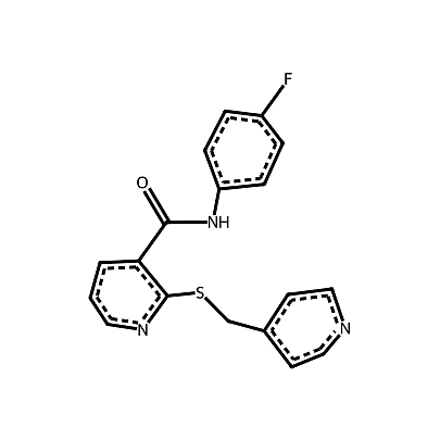 O=C(Nc1ccc(F)cc1)c1cccnc1SCc1ccncc1